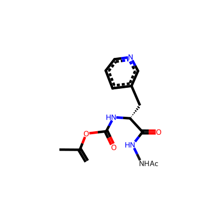 C=C(C)OC(=O)N[C@H](Cc1cccnc1)C(=O)NNC(C)=O